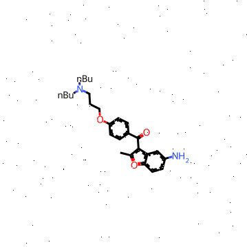 CCCCN(CCCC)CCCOc1ccc(C(=O)c2c(C)oc3ccc(N)cc23)cc1